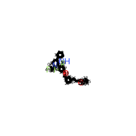 C[C@@H]1Cc2c([nH]c3ccccc23)[C@@H](c2c(F)cc(OCc3cccc(CCCO[Si](C)(C)C(C)(C)C)c3)cc2F)N1CC(C)(C)F